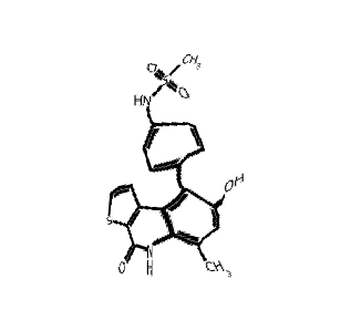 Cc1cc(O)c(-c2ccc(NS(C)(=O)=O)cc2)c2c1[nH]c(=O)c1sccc12